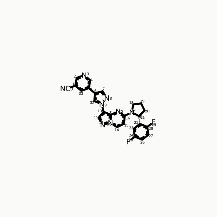 N#Cc1cncc(-c2cnn(-c3cnn4ccc(N5CCC[C@@H]5c5cc(F)ccc5F)nc34)c2)c1